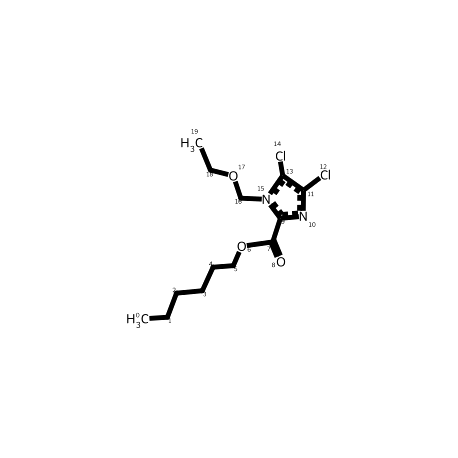 CCCCCCOC(=O)c1nc(Cl)c(Cl)n1COCC